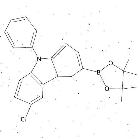 CC1(C)OB(c2ccc3c(c2)c2cc(Cl)ccc2n3-c2ccccc2)OC1(C)C